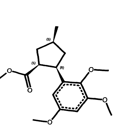 COC(=O)[C@H]1C[C@@H](C)C[C@H]1c1cc(OC)cc(OC)c1OC